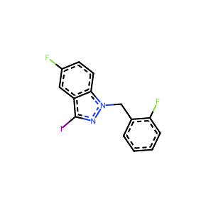 Fc1ccc2c(c1)c(I)nn2Cc1ccccc1F